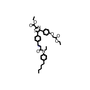 CCCCCc1ccc(N(CC)C(=O)/C=C/c2ccc(-c3sc(C(=O)OCC)nc3-c3ccc(OCC(=O)OCC)cc3)cc2)cc1